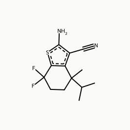 CC(C)C1(C)CCC(F)(F)c2sc(N)c(C#N)c21